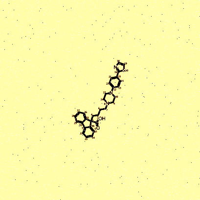 O=C(O)C1(CCCCN2CCN(c3ccc(-c4nccs4)cc3)CC2)c2ccccc2-c2ccccc21